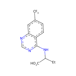 CCC(Nc1ncnc2cc(C(F)(F)F)ccc12)C(=O)O